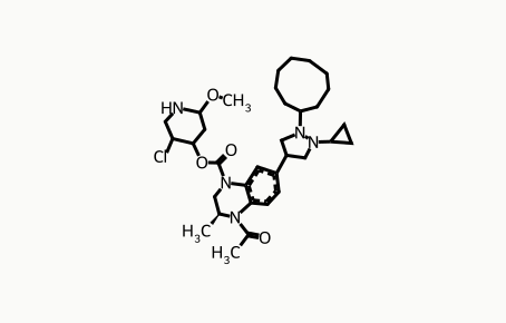 COC1CC(OC(=O)N2C[C@H](C)N(C(C)=O)c3ccc(C4CN(C5CCCCCCCC5)N(C5CC5)C4)cc32)C(Cl)CN1